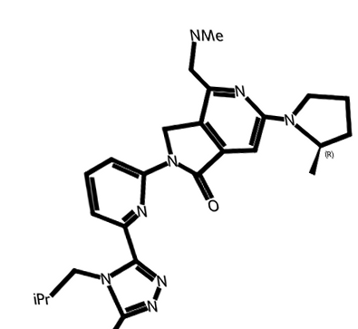 CNCc1nc(N2CCC[C@H]2C)cc2c1CN(c1cccc(-c3nnc(C)n3CC(C)C)n1)C2=O